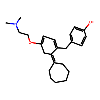 CN(C)CCOC1=CC=C(Cc2ccc(O)cc2)C(=C2CCCCCC2)C1